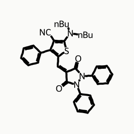 CCCCN(CCCC)c1sc(C=C2C(=O)N(c3ccccc3)N(c3ccccc3)C2=O)c(-c2ccccc2)c1C#N